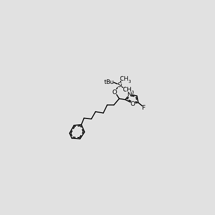 CC(C)(C)[Si](C)(C)OC(CCCCCCc1ccccc1)c1ncc(F)o1